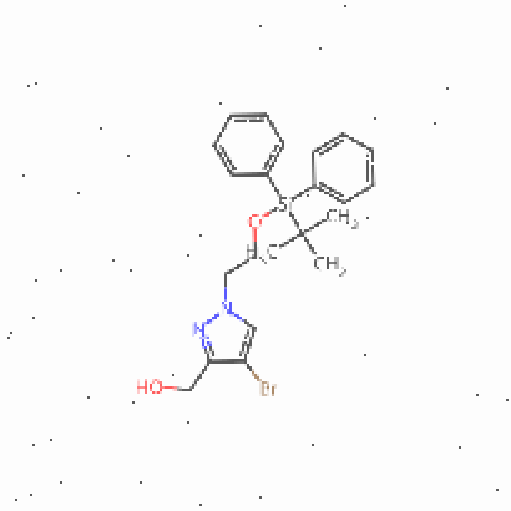 CC(C)(C)[Si](OCCn1cc(Br)c(CO)n1)(c1ccccc1)c1ccccc1